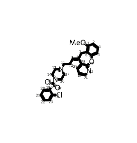 COc1cccc2c1C/C(=C/CCN1CCN(S(=O)(=O)c3ccccc3Cl)CC1)c1cccnc1O2